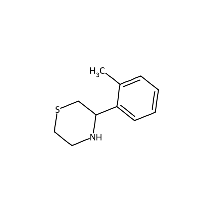 Cc1ccccc1C1CSCCN1